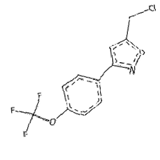 FC(F)(F)Oc1ccc(-c2cc(CCl)on2)cc1